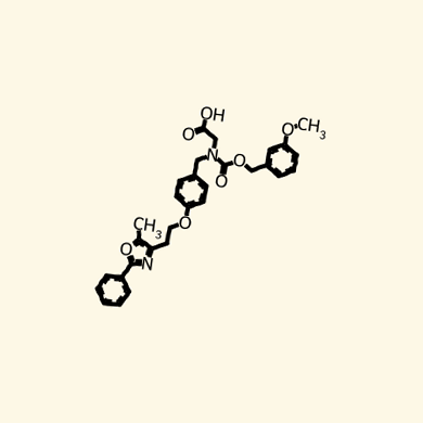 COc1cccc(COC(=O)N(CC(=O)O)Cc2ccc(OCCc3nc(-c4ccccc4)oc3C)cc2)c1